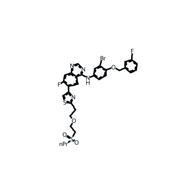 CCCS(=O)(=O)CCOCCc1nc(-c2cc3c(Nc4ccc(OCc5cccc(F)c5)c(Br)c4)ncnc3cc2F)cs1